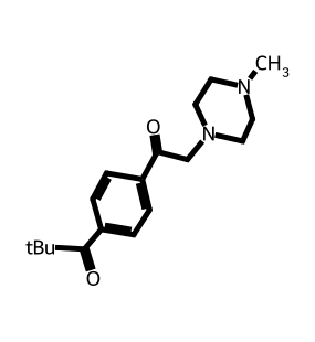 CN1CCN(CC(=O)c2ccc(C(=O)C(C)(C)C)cc2)CC1